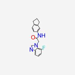 O=C(Cn1cnc2cccc(F)c21)Nc1ccc2c(c1)CCC2